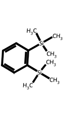 C[Si](C)(C)c1[c]cccc1[Si](C)(C)C